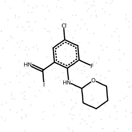 N=C(I)c1cc(Cl)cc(F)c1NC1CCCCO1